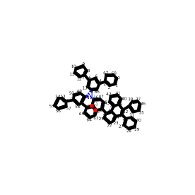 c1ccc(-c2cc(-c3ccccc3)cc(N(c3ccc(-c4cccc5c(-c6ccccc6)c(-c6ccccc6)c6ccccc6c45)cc3)c3ccc(-c4ccccc4)cc3-c3ccccc3)c2)cc1